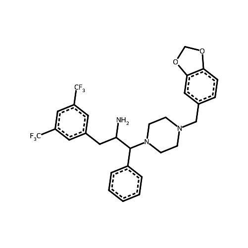 NC(Cc1cc(C(F)(F)F)cc(C(F)(F)F)c1)C(c1ccccc1)N1CCN(Cc2ccc3c(c2)OCO3)CC1